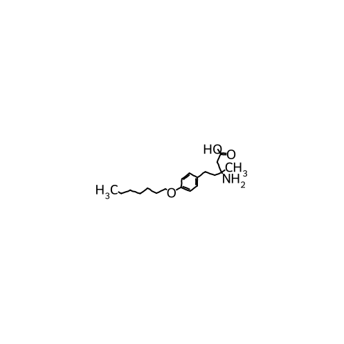 CCCCCCCOc1ccc(CCC(C)(N)CC(=O)O)cc1